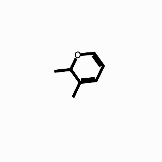 C[C]1OC=CC=C1C